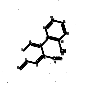 C=C/C=C(OC)\C(=C/C)c1cnccc1C#N